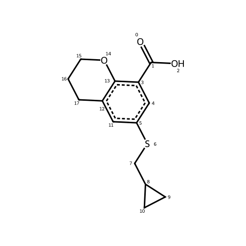 O=C(O)c1cc(SCC2CC2)cc2c1OCCC2